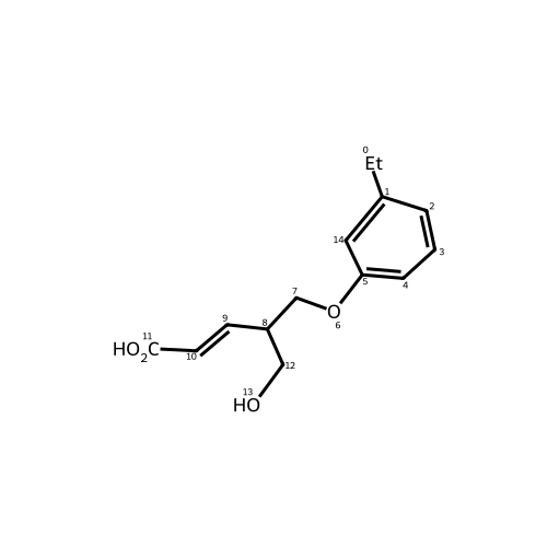 CCc1cccc(OCC(C=CC(=O)O)CO)c1